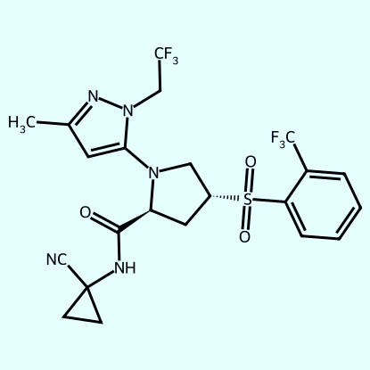 Cc1cc(N2C[C@H](S(=O)(=O)c3ccccc3C(F)(F)F)C[C@H]2C(=O)NC2(C#N)CC2)n(CC(F)(F)F)n1